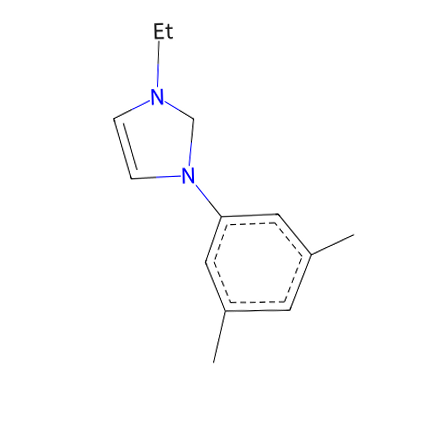 CCN1C=CN(c2cc(C)cc(C)c2)C1